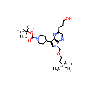 CC(C)(C)OC(=O)N1CCC(c2cn(COCC[Si](C)(C)C)c3ncc(CCCO)nc23)CC1